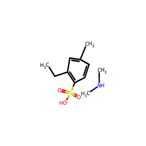 CCc1cc(C)ccc1S(=O)(=O)O.CNC